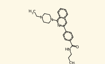 CCCNC(=O)c1ccc(-c2cc3ccccc3c(N3CCN(CC)CC3)n2)cc1